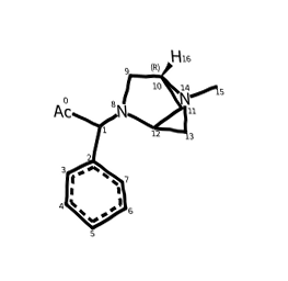 CC(=O)C(c1ccccc1)N1C[C@H]2CC1CN2C